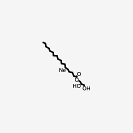 CCCCCCCCCCCCCCCCCC(=O)OCC(O)CO.[Ne]